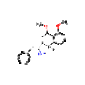 COc1cccc2c1C(OC)CC1[C@@H]2CN[C@@H]1Cc1ccccc1